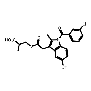 Cc1c(CC(=O)NCC(C)C(=O)O)c2cc(O)ccc2n1C(=O)c1cccc(Cl)c1